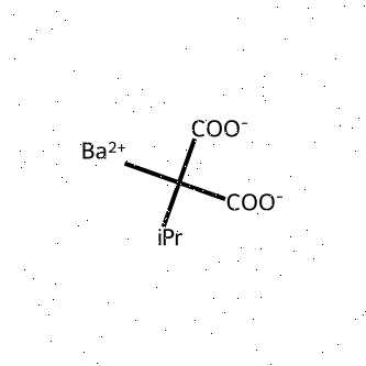 CC(C)C(C)(C(=O)[O-])C(=O)[O-].[Ba+2]